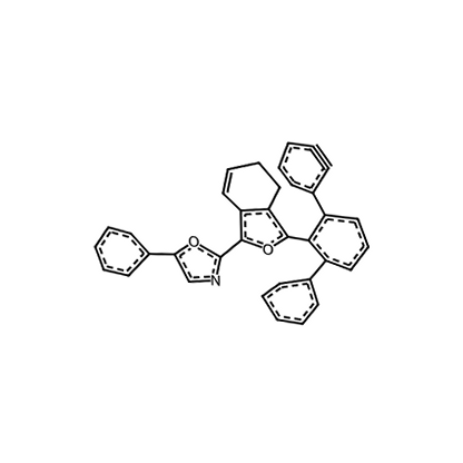 c1cccc(-c2cccc(-c3ccccc3)c2-c2oc(-c3ncc(-c4ccccc4)o3)c3c2CCC=C3)c#1